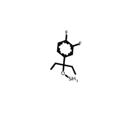 CCC(CC)(O[SiH3])c1ccc(F)c(F)c1